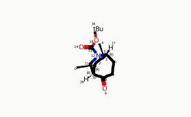 C[C@@H]1C[C@H](C)[C@H]2CCC(=O)[C@H]1CN2C(=O)OC(C)(C)C